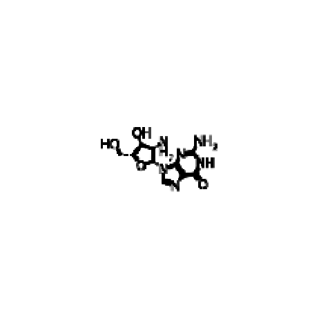 Nc1nc2c(ncn2[C@@H]2O[C@H](CO)[C@@H](O)[C@@H]2N)c(=O)[nH]1